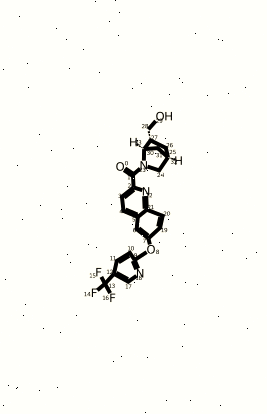 O=C(c1ccc2cc(Oc3ccc(C(F)(F)F)cn3)ccc2n1)N1C[C@@H]2C[C@@H](CO)[C@H]1C2